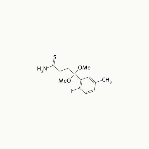 COC(CCC(N)=S)(OC)c1cc(C)ccc1I